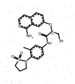 Cc1cc(NC(=O)[C@H](CC(C)C)Oc2ccc3ccnc(N)c3c2)ccc1N1CCCS1(=O)=O